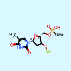 COP(=O)(O)OC[C@H]1O[C@@H](n2cc(C)c(=O)[nH]c2=O)CC1OS